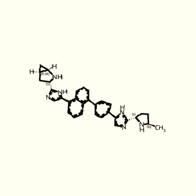 C[C@@H]1CC[C@@H](c2ncc(-c3ccc(-c4cccc5c(-c6cnc([C@@H]7C[C@H]8C[C@H]8N7)[nH]6)cccc45)cc3)[nH]2)N1